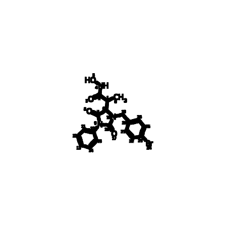 CC(C(=O)NO)C1C(=O)N(c2ccccc2)C(=O)N1Cc1ccc(Br)cc1